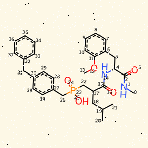 CNC(=O)C(Cc1ccccc1OC)NC(=O)C(CC(C)C)CP(=O)(O)Cc1ccc(Cc2ccccc2)cc1